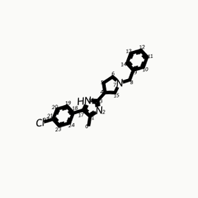 Cc1nc(C2CCN(Cc3ccccc3)C2)[nH]c1-c1ccc(Cl)cc1